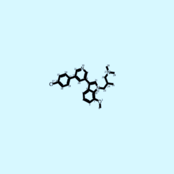 COc1cccc2c(-c3cncc(-c4ccc(Cl)cc4)c3)cn(CC(C)CN(C)C)c12